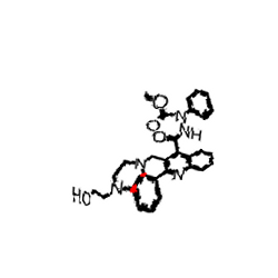 COC(=O)N(NC(=O)c1c(CN2CCN(CCO)CC2)c(-c2ccccc2)nc2ccccc12)c1ccccc1